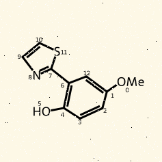 COc1ccc(O)c(-c2nccs2)c1